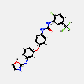 O=C(Nc1ccc(Oc2cccc(Nc3ncco3)c2)cc1)Nc1cc(C(F)(F)F)ccc1F